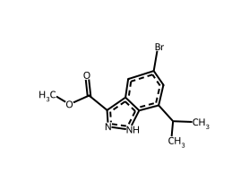 COC(=O)c1n[nH]c2c(C(C)C)cc(Br)cc12